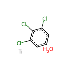 Clc1cccc(Cl)c1Cl.O.[Ti]